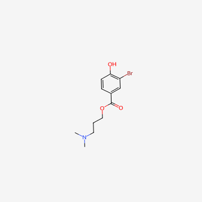 CN(C)CCCOC(=O)c1ccc(O)c(Br)c1